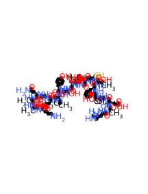 CC(C)C[C@H](NC(=O)[C@H](Cc1ccc(O)cc1)NC(=O)[C@H](CO)NC(=O)[C@H](CO)NC(=O)[C@@H](NC(=O)[C@H](CC(=O)O)NC(=O)[C@H](CS)NC(=O)[C@@H](NC(=O)[C@H](Cc1ccccc1)NC(=O)[C@@H](NC(=O)CNC(=O)[C@H](CCC(=O)O)NC(=O)[C@H](C)NC(=O)[C@@H](N)Cc1c[nH]cn1)[C@@H](C)O)[C@@H](C)O)C(C)C)C(=O)N[C@@H](CCC(=O)O)C(=O)NCC(=O)N[C@@H](CCC(N)=O)C(=O)N[C@@H](C)C(=O)N[C@@H](C)C(=O)N[C@@H](CCCCN)C(=O)O